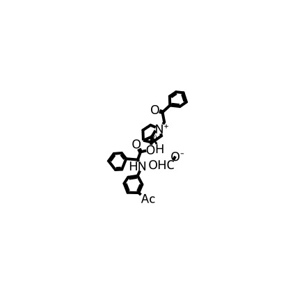 CC(=O)c1cccc(NC(C(=O)O[C@H]2C[N+]3(CC(=O)c4ccccc4)CCC2CC3)c2ccccc2)c1.O=C[O-]